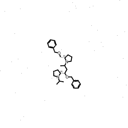 CC(CC(OCc1ccccc1)[C@H]1CCCN1C(C)C)N1CCC[C@H]1COCc1ccccc1